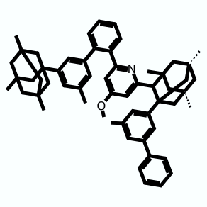 COc1cc(-c2ccccc2-c2cc(C)cc(C34CC5(C)CC(C)(CC(C)(C5)C3)C4)c2)nc(C2C3(C)C[C@]4(C)CC2(c2cc(C)cc(-c5ccccc5)c2)C[C@@](C)(C3)C4)c1